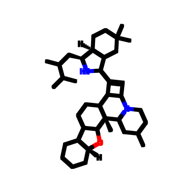 CC1CCN2C3C=C(C4N[C@@H](CC(C)C(C)C)[C@H]5CCC(C)(C)CC45)C3C3CCC4C5CCCC[C@H]5OC4[C@@]3(C)C2C1